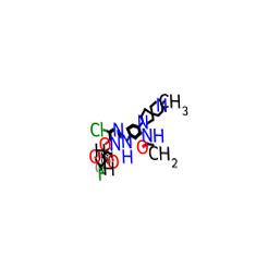 C=CC(=O)Nc1cc(Nc2ncc(Cl)c(O[C@H]3CO[C@@H]4[C@H]3OC[C@@H]4F)n2)ccc1N1CCC2(CCN(C)CC2)CC1